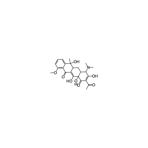 COc1cccc2c1C(=O)C1=C(O)C3(O)C(=O)C(C(C)=O)=C(O)C(N(C)C)C3CC1C2(C)O